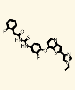 CCn1cnc(-c2cc3nccc(Oc4ccc(NC(=S)NC(=O)Cc5ccccc5F)cc4F)c3s2)c1